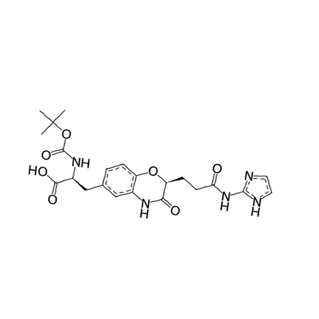 CC(C)(C)OC(=O)N[C@@H](Cc1ccc2c(c1)NC(=O)[C@H](CCC(=O)Nc1ncc[nH]1)O2)C(=O)O